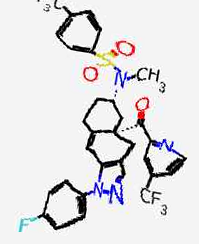 CN([C@H]1CCC2=Cc3c(cnn3-c3ccc(F)cc3)C[C@]2(C(=O)c2cc(C(F)(F)F)ccn2)C1)S(=O)(=O)c1ccc(C(F)(F)F)cc1